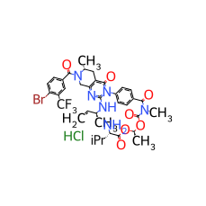 C=C[C@H](C)Nc1nc2c(c(=O)n1-c1ccc(C(=O)N(C)C(=O)O[C@@H](C)OC(=O)[C@@H](N)C(C)C)cc1)C[C@@H](C)N(C(=O)c1ccc(Br)c(C(F)(F)F)c1)C2.Cl